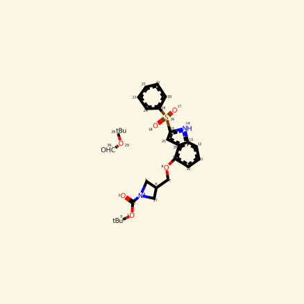 CC(C)(C)OC(=O)N1CC(COc2cccc3[nH]c(S(=O)(=O)c4ccccc4)cc23)C1.CC(C)(C)OC=O